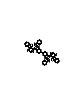 C1=NC(n2c3ccc(-c4ccc5c(c4)n4c6ccccc6nc4n5-c4ncnc5c4oc4ccccc45)cc3n3c4ccccc4nc23)C2Oc3ccccc3C2=N1